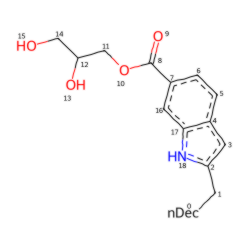 CCCCCCCCCCCc1cc2ccc(C(=O)OCC(O)CO)cc2[nH]1